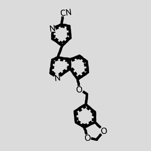 N#Cc1ccc(-c2ccnc3c(OCc4ccc5c(c4)OCO5)cccc23)cn1